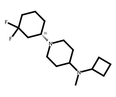 CN(C1CCC1)C1CCN([C@H]2CCCC(F)(F)C2)CC1